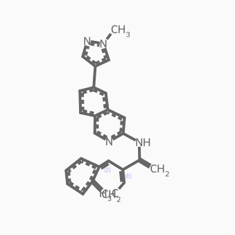 C=C(Nc1cc2cc(-c3cnn(C)c3)ccc2cn1)C(/C=c1/ccccc1=C)=C/C